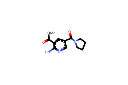 COC(=O)c1cc(C(=O)N2CCCC2)cnc1N